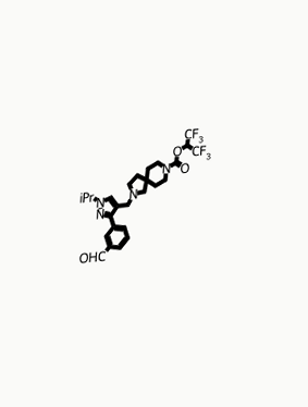 CC(C)n1cc(CN2CCC3(CCN(C(=O)OC(C(F)(F)F)C(F)(F)F)CC3)C2)c(-c2cccc(C=O)c2)n1